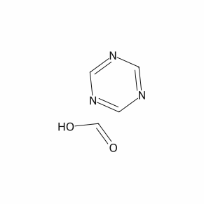 O=CO.c1ncncn1